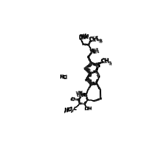 COCC(C)NCc1cc2cc3c(cc2n1C)CCCc1c-3[nH]c(=O)c(C(=O)O)c1O.Cl